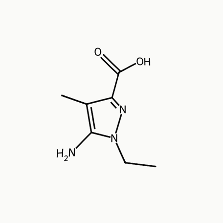 CCn1nc(C(=O)O)c(C)c1N